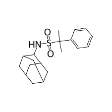 CC(C)(c1ccccc1)S(=O)(=O)NC1C2CC3CC(C2)CC1C3